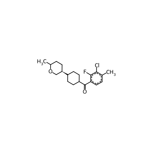 Cc1ccc(C(=O)C2CCC([C@@H]3CCC(C)OC3)CC2)c(F)c1Cl